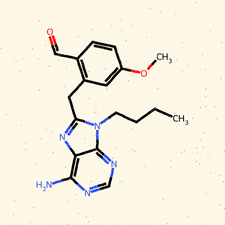 CCCCn1c(Cc2cc(OC)ccc2C=O)nc2c(N)ncnc21